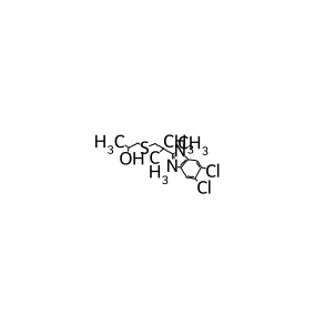 CC(O)CSCC(C)(C)c1nc2cc(Cl)c(Cl)cc2n1C